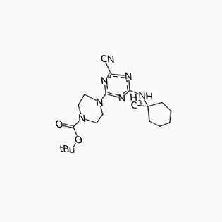 CC1(Nc2nc(C#N)nc(N3CCN(C(=O)OC(C)(C)C)CC3)n2)CCCCC1